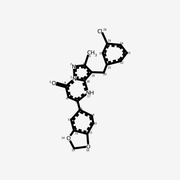 Cc1nn2c(=O)cc(-c3ccc4c(c3)OCO4)[nH]c2c1Cc1cccc(Cl)c1